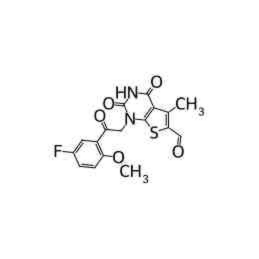 COc1ccc(F)cc1C(=O)Cn1c(=O)[nH]c(=O)c2c(C)c(C=O)sc21